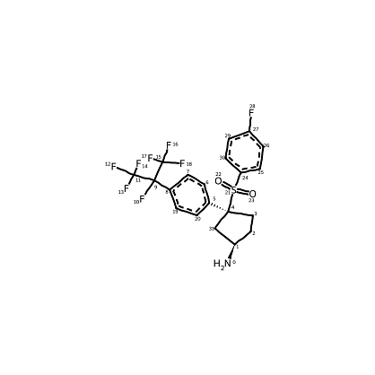 N[C@@H]1CC[C@](c2ccc(C(F)(C(F)(F)F)C(F)(F)F)cc2)(S(=O)(=O)c2ccc(F)cc2)C1